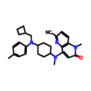 Cc1ccc(N(CC2CCC2)C2CCC(N(C)c3cc(=O)n(C)c4ccc(C#N)nc34)CC2)cc1